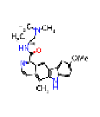 COc1ccc2[nH]c3c(C)c4ccnc(C(=O)N[C@H](C)CN(C)C)c4cc3c2c1